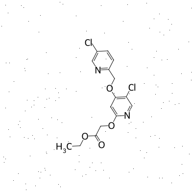 CCOC(=O)COc1cc(OCc2ccc(Cl)cn2)c(Cl)cn1